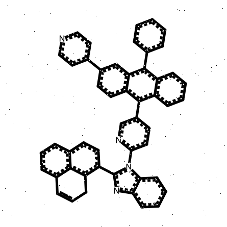 C1=Cc2cccc3ccc(-c4nc5ccccc5n4-c4ccc(-c5c6ccccc6c(-c6ccccc6)c6cc(-c7ccncc7)ccc56)cn4)c(c23)C1